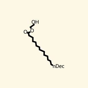 CCCCCCCCCCCCCCCCCCCCCCCC(=O)OCCO